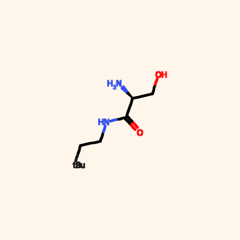 CC(C)(C)CCNC(=O)[C@@H](N)CO